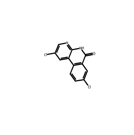 O=c1[nH]c2ncc(Cl)cc2c2ccc(Cl)cc12